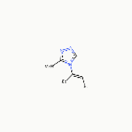 CC/C=C(\CC)n1cnnc1NC